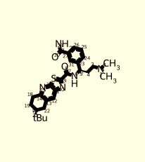 CN(C)CC[C@@H](NC(=O)c1nc2cc3c(nc2s1)CC[C@H](C(C)(C)C)C3)c1cccc(C(N)=O)c1